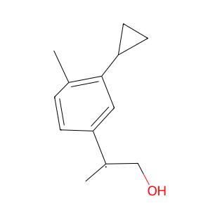 C[C](CO)c1ccc(C)c(C2CC2)c1